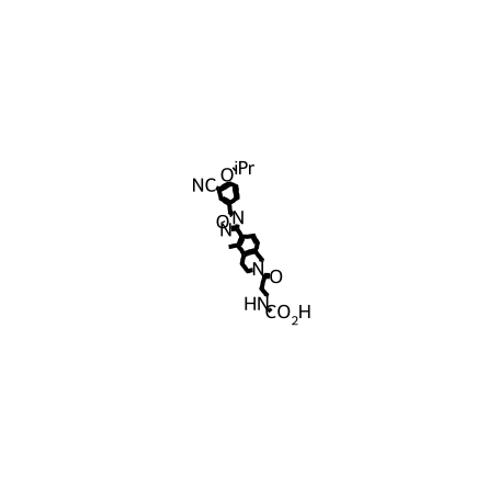 Cc1c(-c2noc(-c3ccc(OC(C)C)c(C#N)c3)n2)ccc2c1CCN(C(=O)CCNC(=O)O)C2